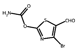 NC(=O)Oc1nc(Br)c(C=O)s1